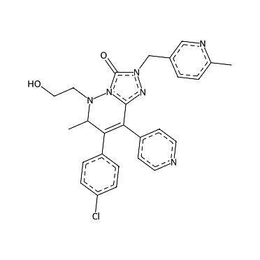 Cc1ccc(Cn2nc3n(c2=O)N(CCO)C(C)C(c2ccc(Cl)cc2)=C3c2ccncc2)cn1